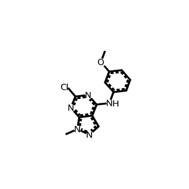 COc1cccc(Nc2nc(Cl)nc3c2cnn3C)c1